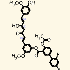 COc1cc(/C=C/C(=O)/C=C(O)/C=C/c2ccc(O)c(OC)c2)cc(OC(=O)c2cc(-c3ccc(F)cc3F)ccc2OC(C)=O)c1